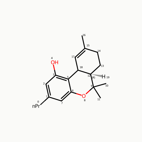 CCCc1cc(O)c2c(c1)OC(C)(C)[C@@H]1CCC(C)=CC21